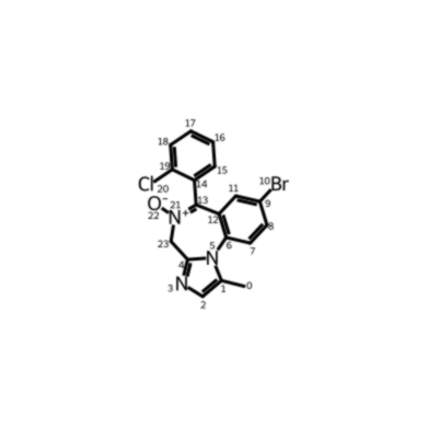 Cc1cnc2n1-c1ccc(Br)cc1C(c1ccccc1Cl)=[N+]([O-])C2